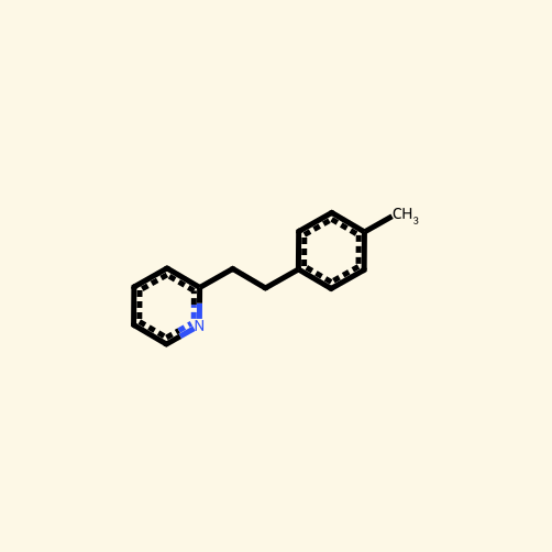 Cc1ccc(CCc2ccccn2)cc1